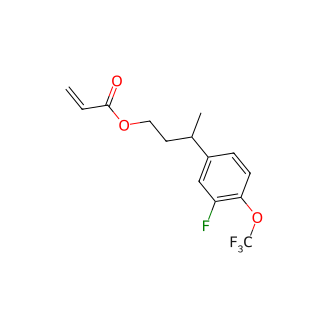 C=CC(=O)OCCC(C)c1ccc(OC(F)(F)F)c(F)c1